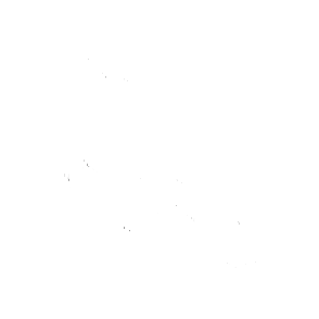 Cn1cc(-c2cc(-c3ccc(N4CC5(CCCCN5)C4)nc3)c3c(C#N)cnn3c2)cn1